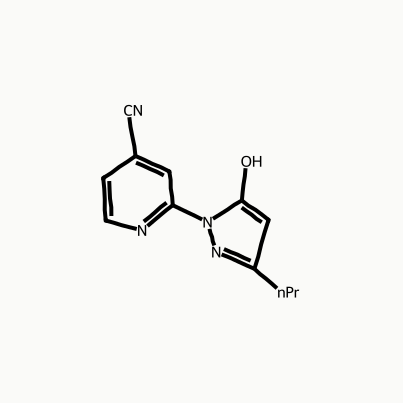 CCCc1cc(O)n(-c2cc(C#N)ccn2)n1